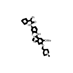 COc1cc2c(Nc3ccc(NC(=O)C(c4ccccc4)C(C)C)cc3F)ncnc2cc1OCC1CCN(C)CC1